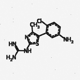 Cc1nc(NC(=N)N)sc1-c1cc(N)ccc1Cl